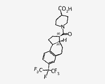 O=C(O)C1CCN(C(=O)[C@@H]2CCC3c4ccc(C(F)(C(F)(F)F)C(F)(F)F)cc4CC[C@H]32)CC1